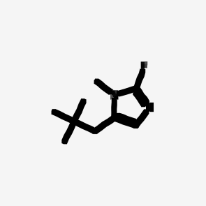 Cn1c(CC(C)(C)C)cnc1F